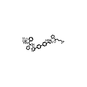 CN(C)CCCC(=O)N1CCC[C@H]1c1ncc(-c2ccc(-c3ccc(-c4cnc([C@@H]5CCCN5C(=O)[C@H](NC(=O)O)c5ccccc5)[nH]4)cc3)cc2)[nH]1